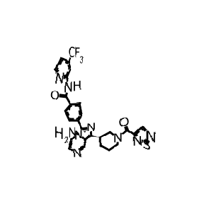 N[N+]12C=CN=CC1=C([C@@H]1CCCN(C(=O)c3cnsn3)C1)N=C2c1ccc(C(=O)Nc2cc(C(F)(F)F)ccn2)cc1